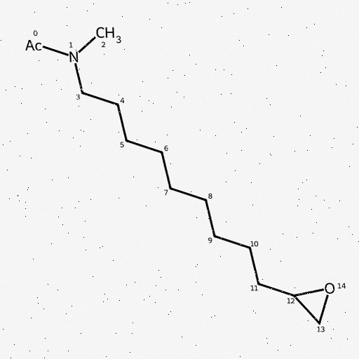 CC(=O)N(C)CCCCCCCCCC1CO1